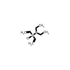 C=C[Si](Cl)(C=C)N(CC)CC